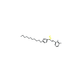 CCCCCCCCCCCc1ccc(C(=S)C=Cc2cccc(C)c2C)cc1